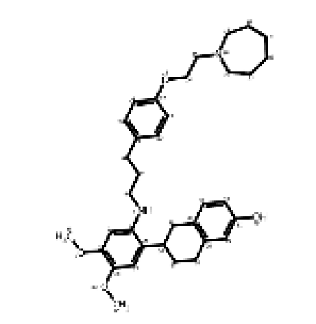 COc1cc(NCCCc2ccc(OCCN3CCCCCC3)cc2)c(C2CCc3cc(O)ccc3C2)cc1OC